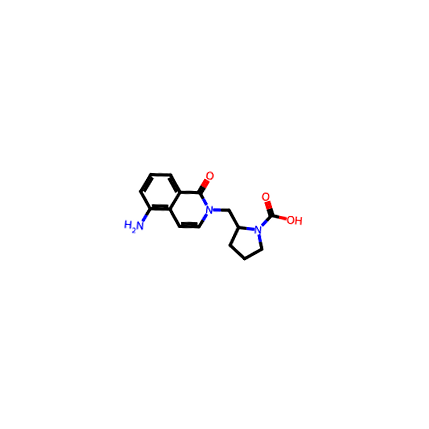 Nc1cccc2c(=O)n(CC3CCCN3C(=O)O)ccc12